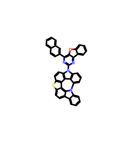 c1ccc2cc(-c3nc(-n4c5ccc6sc7ccc8c9ccccc9n9c%10cccc4c%10c5c6c7c89)nc4c3oc3ccccc34)ccc2c1